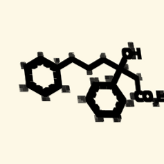 CCOC(=O)CC(O)(CCCc1ccccc1)c1ccccc1